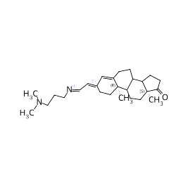 CN(C)CCC/N=C/C=C1/C=C2CCC3C(CC[C@]4(C)C(=O)CCC34)[C@@]2(C)CC1